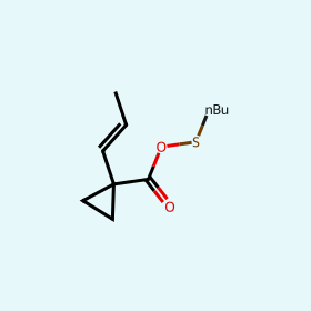 CC=CC1(C(=O)OSCCCC)CC1